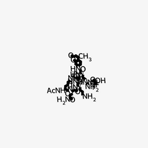 CC(=O)N[C@@H](CCCCN)C(=O)N[C@@H](CCC(N)=O)C(=O)N[C@@H](CCCCN)C(=O)N[C@@H](CC(C)C)C(=O)N[C@@H](CCCNC(=N)N)C(=O)Nc1ccc2c(C)cc(=O)oc2c1.O=C(O)C(F)(F)F